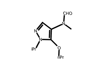 CCCOc1c(N(C)C=O)cnn1C(C)C